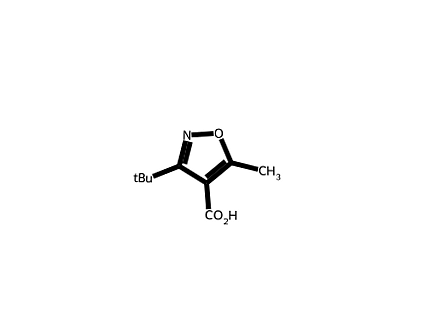 Cc1onc(C(C)(C)C)c1C(=O)O